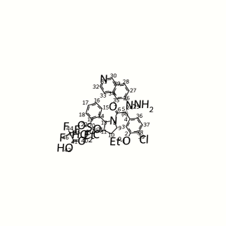 CCOc1cc([C@H](C(=O)N2CCC(C(=O)O)C2c2ccccc2S(=O)(=O)CC)N(N)c2ccc3cnccc3c2)ccc1Cl.O=C(O)C(F)(F)F